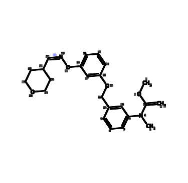 C=C(OC)N(C)c1cccc(COc2cccc(O/N=C\C3CCOCC3)c2)c1